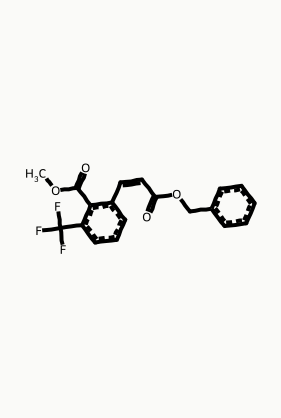 COC(=O)c1c(/C=C\C(=O)OCc2ccccc2)cccc1C(F)(F)F